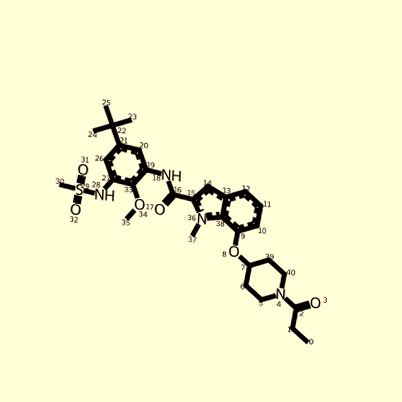 CCC(=O)N1CCC(Oc2cccc3cc(C(=O)Nc4cc(C(C)(C)C)cc(NS(C)(=O)=O)c4OC)n(C)c23)CC1